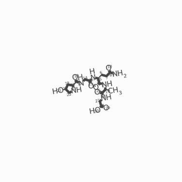 C[C@H](NC(=O)[C@H](CCC(N)=O)NC(=O)CNC(=O)[C@@H]1C[C@@H](O)CN1)C(=O)NCC(=O)O